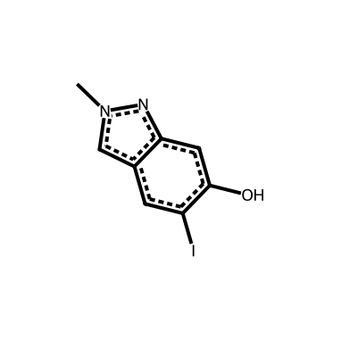 Cn1cc2cc(I)c(O)cc2n1